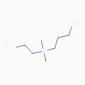 CNCCC[N+](C)(C)CCC(=O)O